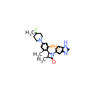 Cc1cc(N2CCC(C)(F)CC2)cc(P)c1C1C(C)C(=O)N1c1ccc2[nH]cnc2c1